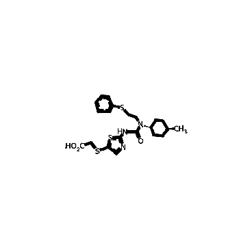 C[C@H]1CC[C@H](N(CCSc2ccccc2)C(=O)Nc2ncc(SCC(=O)O)s2)CC1